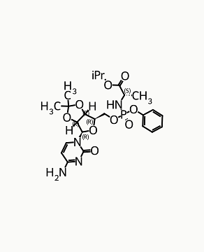 CC(C)OC(=O)[C@H](C)NP(=O)(OC[C@H]1O[C@@H](n2ccc(N)nc2=O)[C@@H]2OC(C)(C)O[C@@H]21)Oc1ccccc1